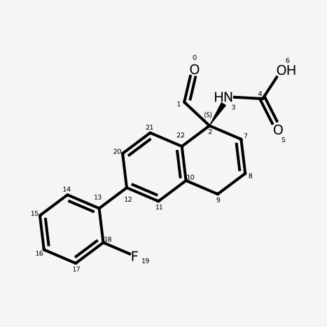 O=C[C@]1(NC(=O)O)C=CCc2cc(-c3ccccc3F)ccc21